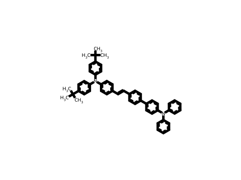 CC(C)(C)c1ccc(N(c2ccc(/C=C/c3ccc(-c4ccc(N(c5ccccc5)c5ccccc5)cc4)cc3)cc2)c2ccc(C(C)(C)C)cc2)cc1